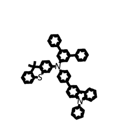 CC1(C)c2ccccc2Sc2cc(N(c3ccc(-c4ccc5c(c4)c4ccccc4n5-c4ccccc4)cc3)c3cc(-c4ccccc4)cc(-c4ccccc4)c3)ccc21